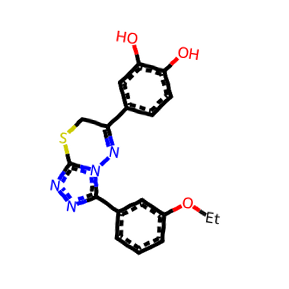 CCOc1cccc(-c2nnc3n2N=C(c2ccc(O)c(O)c2)CS3)c1